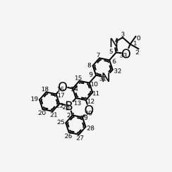 CC1(C)CN=C(c2ccc(-c3cc4c5c(c3)Oc3ccccc3B5c3ccccc3O4)nc2)O1